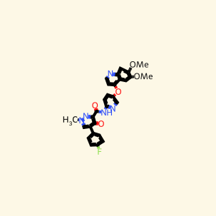 COc1cc2nccc(Oc3ccc(NC(=O)c4nn(C)cc(-c5ccc(F)cc5)c4=O)nc3)c2cc1OC